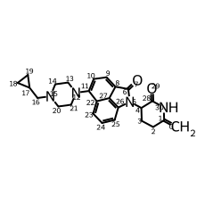 C=C1CCC(N2C(=O)c3ccc(N4CCN(CC5CC5)CC4)c4cccc2c34)C(=O)N1